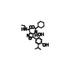 CCNC(=O)c1noc(-c2cc(C(C)C)c(O)cc2O)c1NC(=O)C1CCCCC1